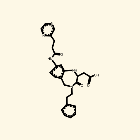 O=C(O)CC1Nc2cc(NC(=O)CCc3cnccn3)ccc2CN(CCc2ccccc2)C1=O